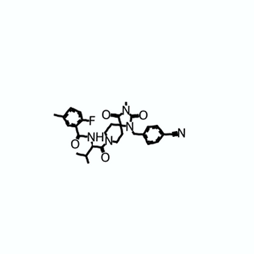 Cc1ccc(F)c(C(=O)N[C@@H](C(=O)N2CCC3(CC2)C(=O)N(C)C(=O)N3Cc2ccc(C#N)cc2)C(C)C)c1